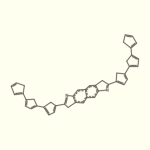 C1=CCC(C2=CC=C(C3=CC=C(C4=Nc5cc6cc7c(cc6cc5C4)N=C(C4=CC=C(C5=CC=C(C6=CC=CC6)C5)C4)C7)C3)C2)=C1